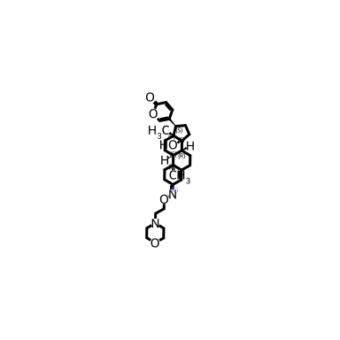 C[C@]12CC/C(=N\OCCN3CCOCC3)C=C1CC[C@@H]1[C@@H]2CC[C@]2(C)[C@@H](c3ccc(=O)oc3)CC[C@]12O